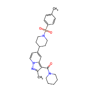 Cc1ccc(S(=O)(=O)N2CCC(c3ccn4nc(C)c(C(=O)N5CCCCC5)c4c3)CC2)cc1